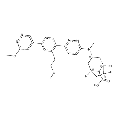 COCOc1cc(-c2cnnc(OC)c2)ccc1-c1ccc(N(C)[C@H]2C[C@@H]3CC(F)(F)[C@H](C2)N3C(=O)O)nn1